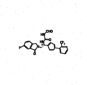 O=CNC(=O)N[C@@H](CN1Cc2ccc(F)cc2C1=O)c1ccc(-c2ccccc2C(F)(F)F)cc1